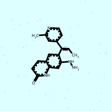 C/C=C(/c1ccnc(C)c1)c1cc2ccc(=O)[nH]c2cc1NN